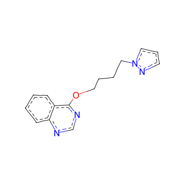 c1ccc2c(OCCCCn3cccn3)ncnc2c1